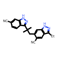 CCc1n[nH]c2cc(CC(C)(C)c3n[nH]c4cc(C#N)ccc34)c(C#N)cc12